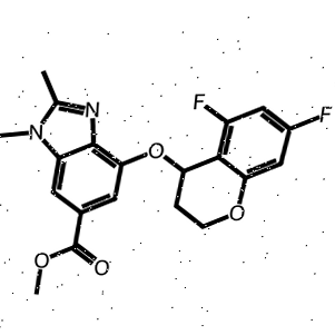 COC(=O)c1cc(OC2CCOc3cc(F)cc(F)c32)c2nc(C)n(C)c2c1